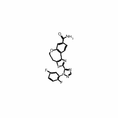 NC(=O)c1ccc2c(c1)OCCc1sc(-c3ncnn3-c3cc(F)ccc3F)nc1-2